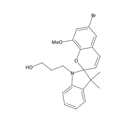 COc1cc(Br)cc2c1OC1(C=C2)N(CCCO)c2ccccc2C1(C)C